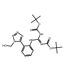 CC(C)(C)OC(=O)N=C(NC(=O)OC(C)(C)C)Nc1ccccc1-c1nnnn1CO